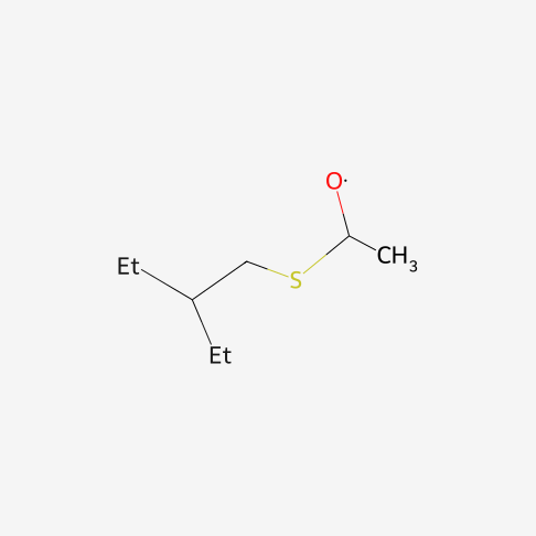 CCC(CC)CSC(C)[O]